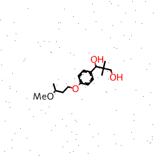 COC(C)CCOc1ccc(C(O)C(C)(C)CO)cc1